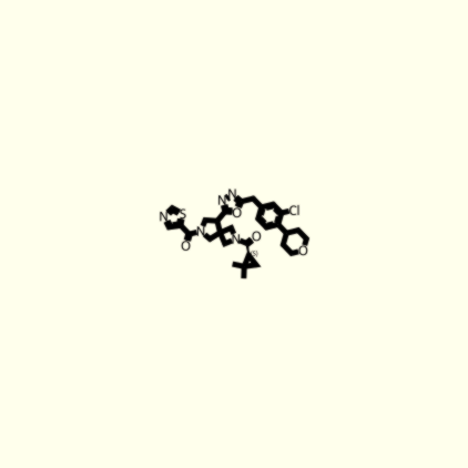 CC1(C)C[C@@H]1C(=O)N1CC2(CN(C(=O)c3cncs3)CC2c2nnc(Cc3ccc(C4CCOCC4)c(Cl)c3)o2)C1